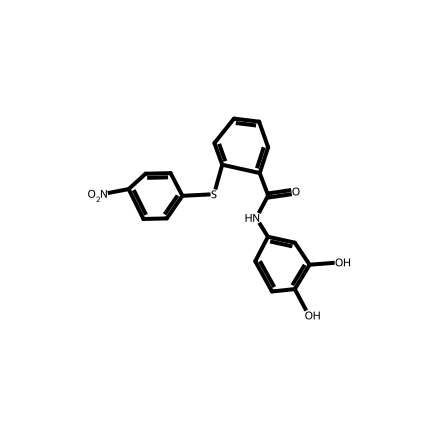 O=C(Nc1ccc(O)c(O)c1)c1ccccc1Sc1ccc([N+](=O)[O-])cc1